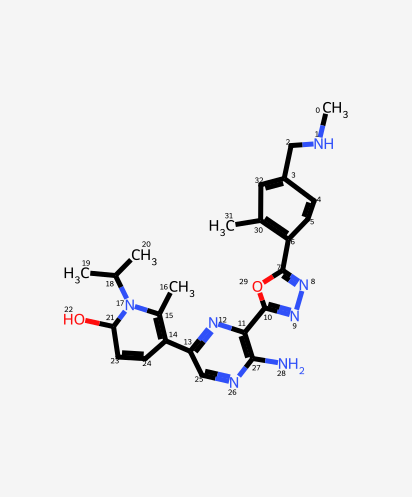 CNCc1ccc(-c2nnc(-c3nc(C4=C(C)N(C(C)C)C(O)C=C4)cnc3N)o2)c(C)c1